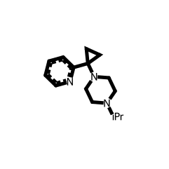 CC(C)N1CCN(C2(c3ccccn3)CC2)CC1